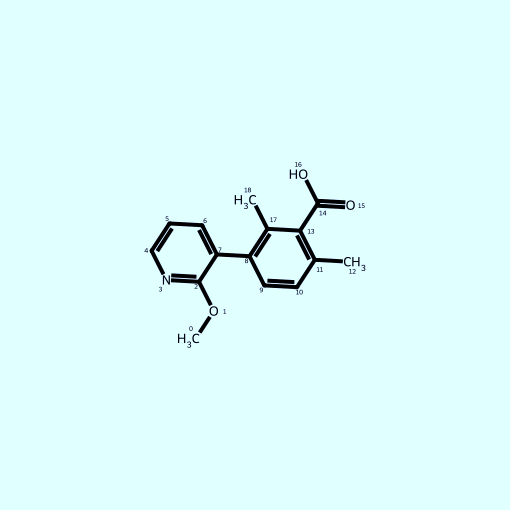 COc1ncccc1-c1ccc(C)c(C(=O)O)c1C